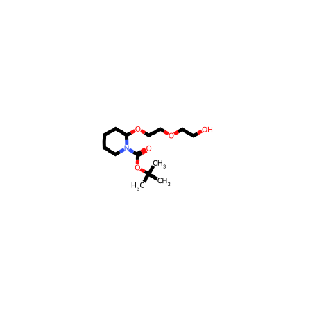 CC(C)(C)OC(=O)N1CCCCC1OCCOCCO